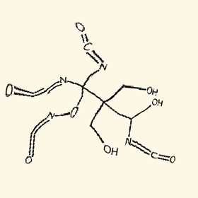 O=C=NOC(N=C=O)(N=C=O)C(CO)(CO)C(O)N=C=O